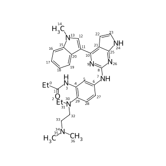 CCC(=O)Nc1cc(Nc2nc(-c3cn(C)c4ccccc34)c3cc[nH]c3n2)ccc1N(CC)CCN(C)C